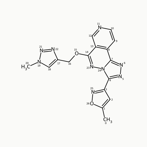 Cc1cc(-c2nnc3c4ccncc4c(OCc4cn(C)nn4)nn23)no1